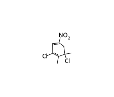 CC1=C(Cl)C=C([N+](=O)[O-])CC1(C)Cl